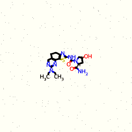 CCN(CC)c1ncc2c(n1)-c1sc(NC(=O)N3C[C@@H](O)C[C@H]3C(N)=O)nc1CC2